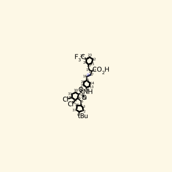 CC(C)(C)c1ccc(Cc2c(S(=O)(=O)Nc3ccc(/C=C/C(Cc4cccc(C(F)(F)F)c4)C(=O)O)cc3)ccc(Cl)c2Cl)cc1